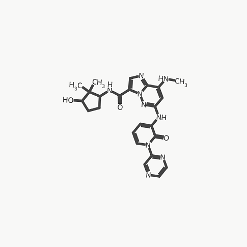 CNc1cc(Nc2cccn(-c3cnccn3)c2=O)nn2c(C(=O)NC3CCC(O)C3(C)C)cnc12